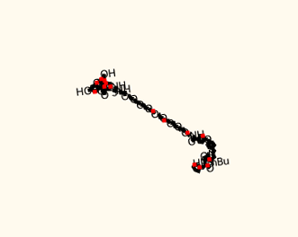 CCCCN1C(=O)C(CC2CCCCC2)NC(=O)C12CCN(Cc1ccc(Oc3ccc(C(=O)NCCOCCOCCOCCOCCOCCOCCOCCOCCOCCNC(=S)Nc4ccc5c(c4)C(=O)OC54c5ccc(O)cc5Oc5cc(O)ccc54)cc3)cc1)CC2